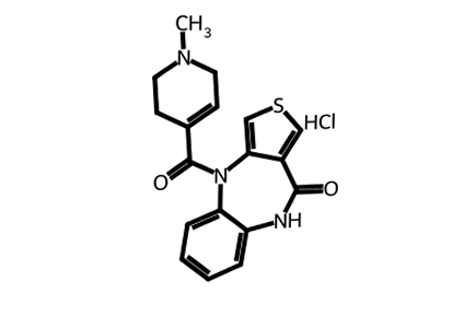 CN1CC=C(C(=O)N2c3ccccc3NC(=O)c3cscc32)CC1.Cl